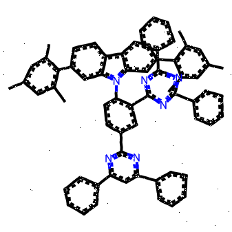 Cc1cc(C)c(-c2ccc3c4ccc(-c5c(C)cc(C)cc5C)cc4n(-c4ccc(-c5nc(-c6ccccc6)cc(-c6ccccc6)n5)cc4-c4nc(-c5ccccc5)nc(-c5ccccc5)n4)c3c2)c(C)c1